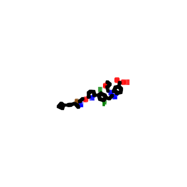 O=C(O)c1ccc2nc(Cc3cc(F)c(-c4cccc(OCc5ncc(C#CC6CCC6)s5)n4)cc3F)n(C[C@@H]3CCO3)c2c1